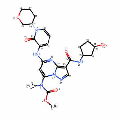 CN(C(=O)OC(C)(C)C)c1cc(Nc2cccn([C@H]3CCCOC3)c2=O)nc2c(C(=O)NC3CC[C@@H](O)C3)cnn12